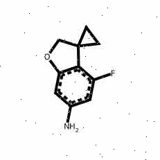 Nc1cc(F)c2c(c1)OCC21CC1